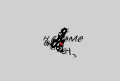 COC(=O)c1c(Sc2ccccc2)n(C)c2c(C)c(Br)c(O)c(N3CCN(C)CC3)c12